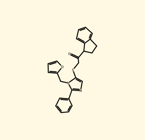 O=C(CSc1cnc(-c2ccccc2)n1Cc1ccco1)C1CCc2ccccc21